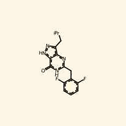 CC(C)Cc1n[nH]c2c(=O)[nH]c(Cc3c(F)cccc3F)nc12